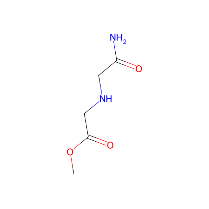 COC(=O)CNCC(N)=O